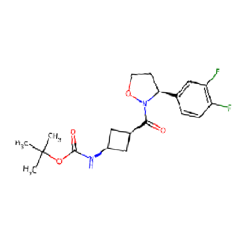 CC(C)(C)OC(=O)N[C@H]1C[C@@H](C(=O)N2OCC[C@H]2c2ccc(F)c(F)c2)C1